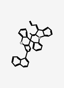 C=C/C=c1\c2n(c3ccccc13)-c1ccccc1C1(C=2C)c2ccccc2Oc2cc(-c3cccc4ccccc34)ccc21